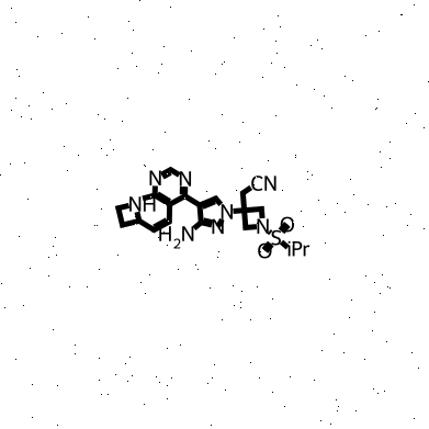 Cc1ncnc(-c2cn(C3(CC#N)CN(S(=O)(=O)C(C)C)C3)nc2N)c1/C=C\C1CCN1